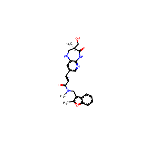 Cc1oc2ccccc2c1CN(C)C(=O)/C=C/c1cnc2c(c1)NC[C@@](C)(CO)C(=O)N2